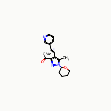 COC(=O)c1nn(C2CCCCO2)c(C)c1/C=C/c1cccnc1